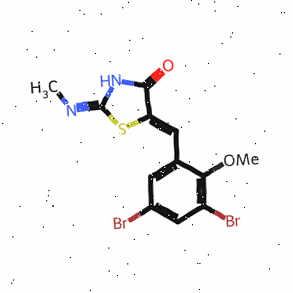 C/N=C1\NC(=O)/C(=C/c2cc(Br)cc(Br)c2OC)S1